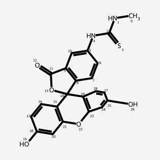 CNC(=S)Nc1ccc2c(c1)C(=O)OC21c2ccc(O)cc2Oc2cc(O)ccc21